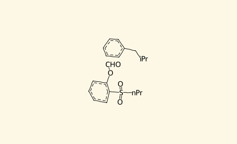 CC(C)Cc1ccccc1.CCCS(=O)(=O)c1ccccc1OC=O